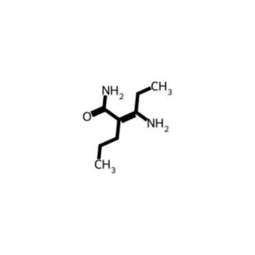 CCCC(C(N)=O)=C(N)CC